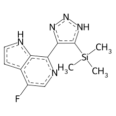 C[Si](C)(C)c1[nH]nnc1-c1ncc(F)c2cc[nH]c12